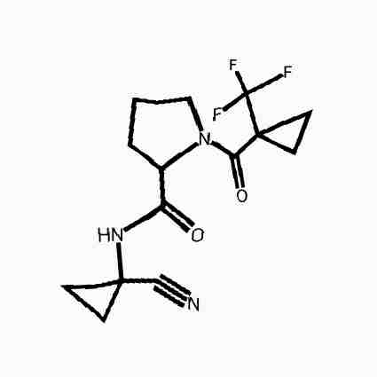 N#CC1(NC(=O)C2CCCN2C(=O)C2(C(F)(F)F)CC2)CC1